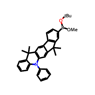 COB(OC(C)(C)C)c1ccc2c(c1)C(C)(C)c1cc3c(cc1-2)C(C)(C)c1ccccc1N3c1ccccc1